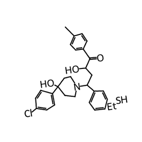 CCS.Cc1ccc(C(=O)C(O)CC(c2ccccc2)N2CCC(O)(c3ccc(Cl)cc3)CC2)cc1